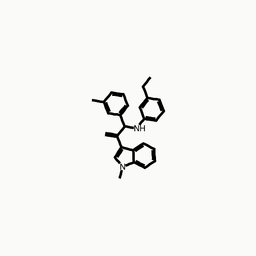 C=C(c1cn(C)c2ccccc12)C(Nc1cccc(CC)c1)c1cccc(C)c1